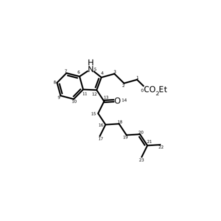 CCOC(=O)CCCc1[nH]c2ccccc2c1C(=O)CC(C)CCC=C(C)C